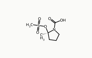 C[C@@]1(OS(C)(=O)=O)CCCN1C(=O)O